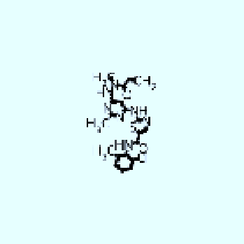 C=CC(=O)N(C)Nc1cc(Nc2ncc(C(=O)Nc3c(C)cccc3Cl)s2)nc(C)n1